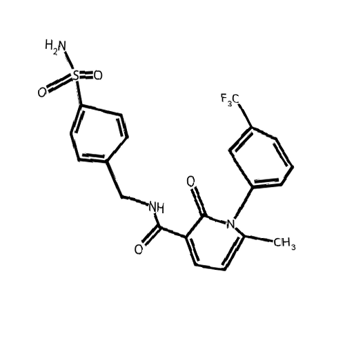 Cc1ccc(C(=O)NCc2ccc(S(N)(=O)=O)cc2)c(=O)n1-c1cccc(C(F)(F)F)c1